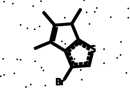 CC1=C(C)C(C)c2scc(Br)c21